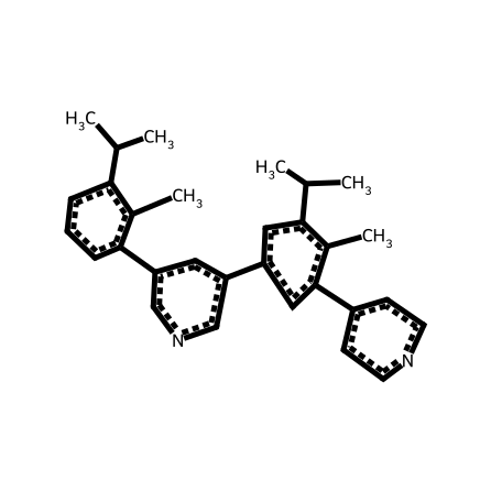 Cc1c(-c2cncc(-c3cc(-c4ccncc4)c(C)c(C(C)C)c3)c2)cccc1C(C)C